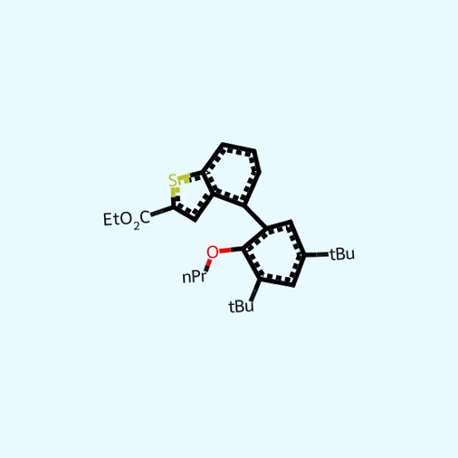 CCCOc1c(-c2cccc3sc(C(=O)OCC)cc23)cc(C(C)(C)C)cc1C(C)(C)C